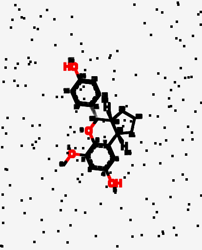 COc1cc(O)cc2c1O[C@H](c1ccc(O)cc1)[C@@H]1CCC[C@H]21